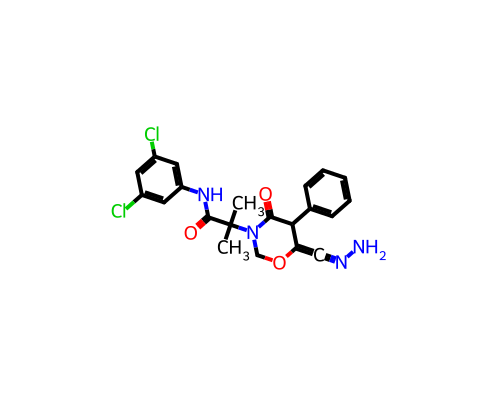 CC(C)(C(=O)Nc1cc(Cl)cc(Cl)c1)N1COC(=C=NN)C(c2ccccc2)C1=O